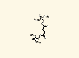 COP(=S)(OC)SOC(=O)CCC(=O)OSP(=S)(OC)OC